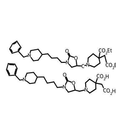 CCOC(=O)CC1(C(=O)OCC)CCN(CC2CN(CCCCC3CCN(Cc4ccccc4)CC3)C(=O)O2)CC1.O=C(O)CC1(C(=O)O)CCN(CC2CN(CCCCC3CCN(Cc4ccccc4)CC3)C(=O)O2)CC1